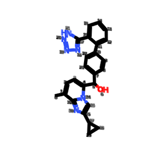 Cc1ccc(C(O)c2ccc(-c3ccccc3-c3nnn[nH]3)cc2)n2cc(C3CC3)nc12